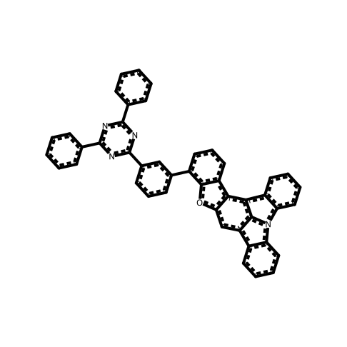 c1ccc(-c2nc(-c3ccccc3)nc(-c3cccc(-c4cccc5c4oc4cc6c7ccccc7n7c8ccccc8c(c45)c67)c3)n2)cc1